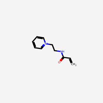 C=CC(=O)NCC[n+]1ccccc1